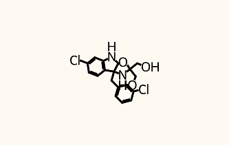 CC(CO)(CO)NC1(Cc2cccc(Cl)c2)C(=O)Nc2cc(Cl)ccc21